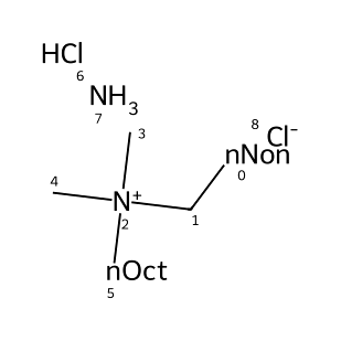 CCCCCCCCCC[N+](C)(C)CCCCCCCC.Cl.N.[Cl-]